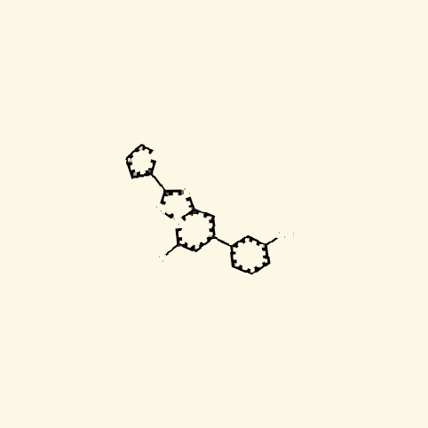 Nc1cccc(-c2cc(N)n3nc(-c4cccs4)nc3c2)c1